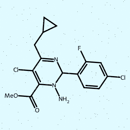 COC(=O)C1=C(Cl)C(CC2CC2)=NC(c2ccc(Cl)cc2F)N1N